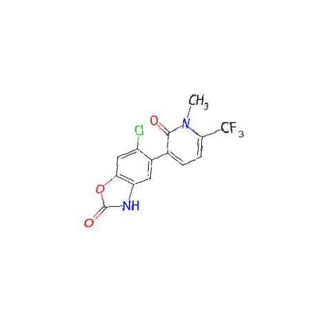 Cn1c(C(F)(F)F)ccc(-c2cc3[nH]c(=O)oc3cc2Cl)c1=O